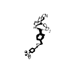 CC(C)C[C@H](N[C@@H](c1ccc(CSCc2ccc(S(C)(=O)=O)cc2)cc1)C(F)(F)F)C(=O)NCC#N